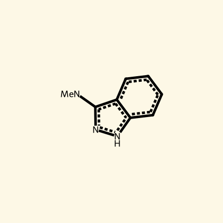 CNc1n[nH]c2ccccc12